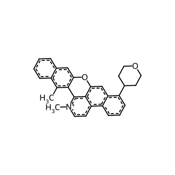 Cc1c2c(cc3ccccc13)Oc1cc3c(C4CCOCC4)cccc3c3cc[n+](C)c-2c13